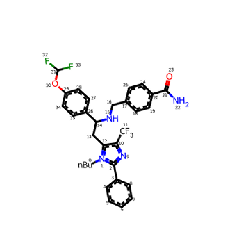 CCCCn1c(-c2ccccc2)nc(C(F)(F)F)c1CC(NCc1ccc(C(N)=O)cc1)c1ccc(OC(F)F)cc1